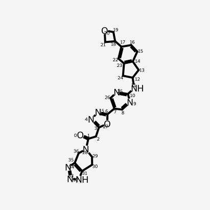 O=C(Cc1nnc(-c2cnc(NC3Cc4ccc(C5COC5)cc4C3)nc2)o1)N1CCc2[nH]nnc2C1